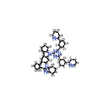 c1ccc(-c2cccc(-c3nc(-c4cccc(-c5ccccn5)c4)nc(-n4c5ccccc5c5cc6c7ccccc7c7nc8ccccc8n7c6cc54)n3)c2)nc1